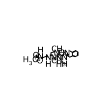 CC1=NC(NC(=O)NC2Cc3ccccc3CN2)N(C)C(NCCNS(C)(=O)=O)C1